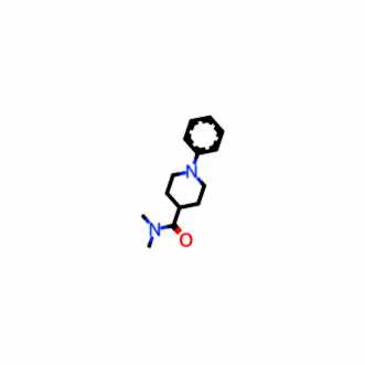 CN(C)C(=O)C1CCN(c2ccccc2)CC1